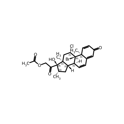 CC(=O)OCC(=O)[C@@]1(O)[C@@H](C)C[C@H]2[C@@H]3C=CC4=CC(=O)C=C[C@]4(C)[C@@]3(Br)[C@@H](Cl)C[C@@]21C